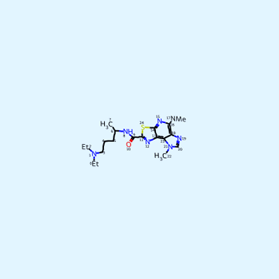 CCN(CC)CCCC(C)NC(=O)c1nc2c(nc(NC)c3ncn(C)c32)s1